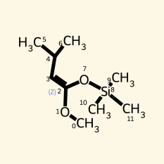 CO/C(=C/C(C)C)O[Si](C)(C)C